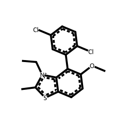 CC[n+]1c(C)sc2ccc(OC)c(-c3cc(Cl)ccc3Cl)c21